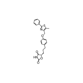 Cc1sc(-c2ccccc2)nc1COc1ccc(CCC[C@H]2OC(=O)NC2=O)cc1